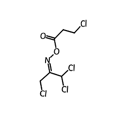 O=C(CCCl)ON=C(CCl)C(Cl)Cl